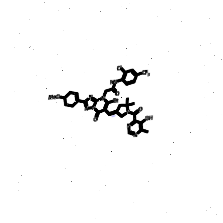 CCc1c(/C=C2/CN(C(=O)c3ncnc(C)c3O)C(C)(C)C2)c(=O)n2nc(C3=CCC(OC)CC3)nc2n1CC(=O)Nc1ccc(C(F)(F)F)cc1Cl